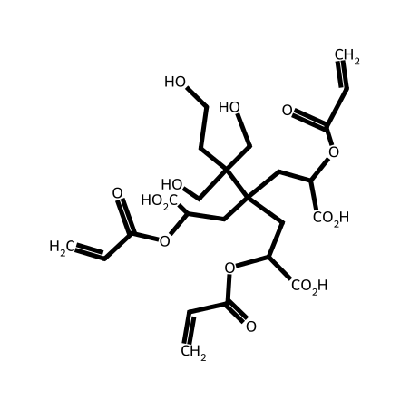 C=CC(=O)OC(CC(CC(OC(=O)C=C)C(=O)O)(CC(OC(=O)C=C)C(=O)O)C(CO)(CO)CCO)C(=O)O